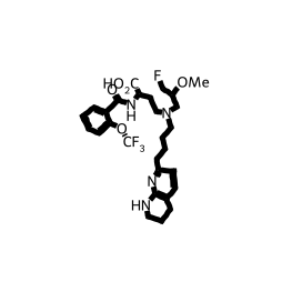 COC(CF)CN(CCCCc1ccc2c(n1)NCCC2)CCC(NC(=O)c1ccccc1OC(F)(F)F)C(=O)O